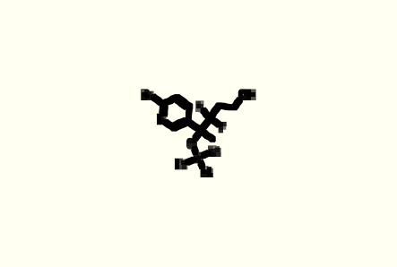 CC[Si](CC)(CC)OC(C)(c1ccc(Br)nc1)C(F)(F)CCO